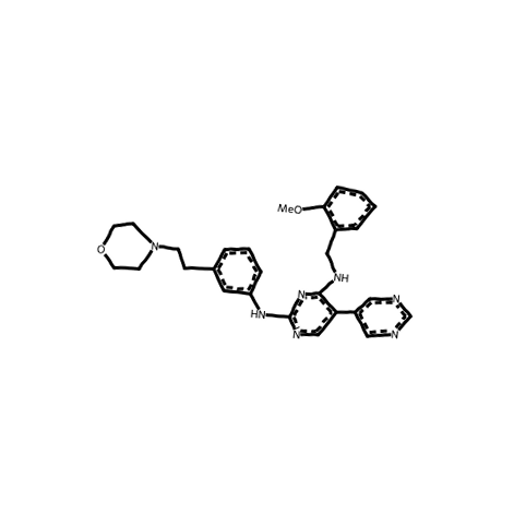 COc1ccccc1CNc1nc(Nc2cccc(CCN3CCOCC3)c2)ncc1-c1cncnc1